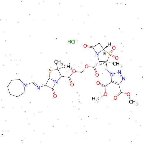 COC(=O)c1nnn(C[C@@]2(C)[C@H](C(=O)OCOC(=O)C3N4C(=O)C(N=CN5CCCCCC5)C4SC3(C)C)N3C(=O)C[C@@H]3S2(=O)=O)c1C(=O)OC.Cl